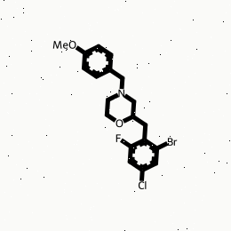 COc1ccc(CN2CCOC(Cc3c(F)cc(Cl)cc3Br)C2)cc1